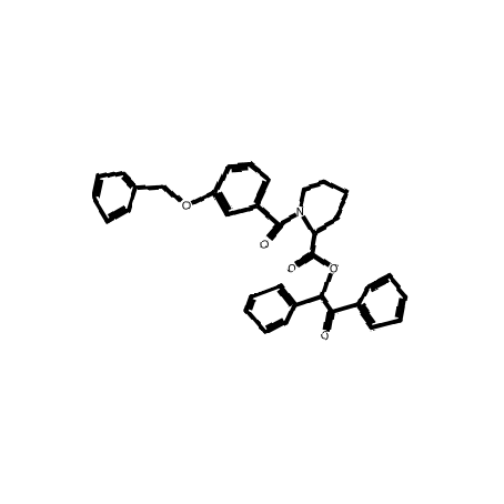 O=C(c1ccccc1)C(OC(=O)C1CCCCN1C(=O)c1cccc(OCc2ccccc2)c1)c1ccccc1